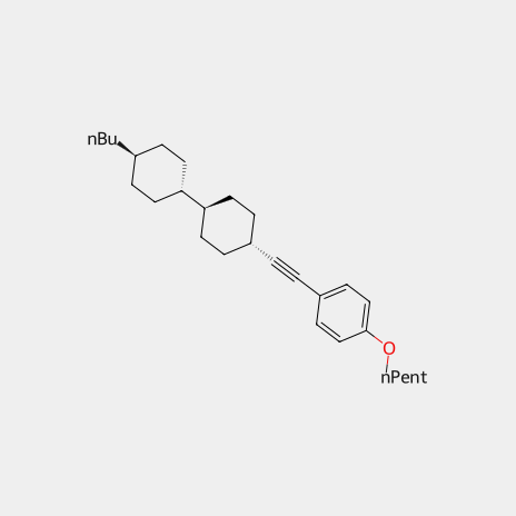 CCCCCOc1ccc(C#C[C@H]2CC[C@H]([C@H]3CC[C@H](CCCC)CC3)CC2)cc1